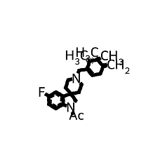 C=C1CC=C(CN2CCC3(CC2)CN(C(C)=O)c2ccc(F)cc23)[C@H](C)C1(C)C